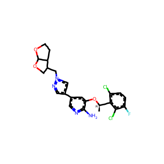 C[C@@H](Oc1cc(-c2cnn(CC3COC4OCCC34)c2)cnc1N)c1c(Cl)ccc(F)c1Cl